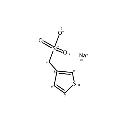 O=S(=O)([O-])Cc1ccsc1.[Na+]